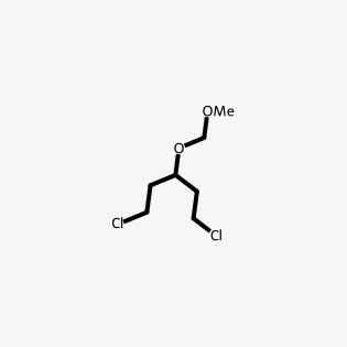 COCOC(CCCl)CCCl